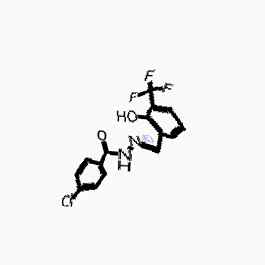 O=C(N/N=C/c1cccc(C(F)(F)F)c1O)c1ccc(Cl)cc1